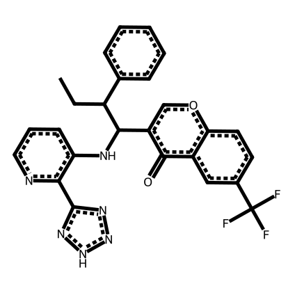 CCC(c1ccccc1)C(Nc1cccnc1-c1nn[nH]n1)c1coc2ccc(C(F)(F)F)cc2c1=O